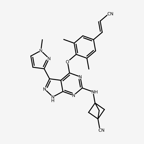 Cc1cc(/C=C/C#N)cc(C)c1Oc1nc(NC23CC(C#N)(C2)C3)nc2[nH]nc(-c3ccn(C)n3)c12